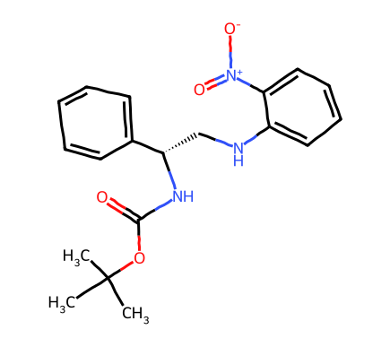 CC(C)(C)OC(=O)N[C@@H](CNc1ccccc1[N+](=O)[O-])c1ccccc1